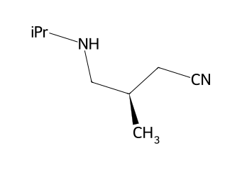 CC(C)NC[C@H](C)CC#N